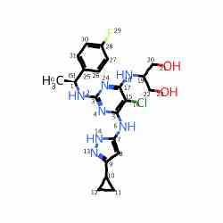 C[C@H](Nc1nc(Nc2cc(C3CC3)n[nH]2)c(Cl)c(NC(CO)CO)n1)c1ccc(F)cc1